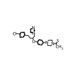 CC(=S)N1CCN(c2ccc(OC(CCc3ccc(Cl)cc3)Cn3ccnc3)cc2)CC1